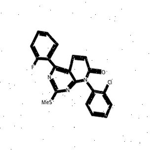 CSc1nc(-c2ccccc2F)c2ccc(=O)n(-c3ccccc3Cl)c2n1